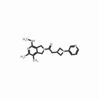 CNc1nc(C)c(C)c2c1CN(C(=O)CC1CN(c3cccnc3)C1)C2